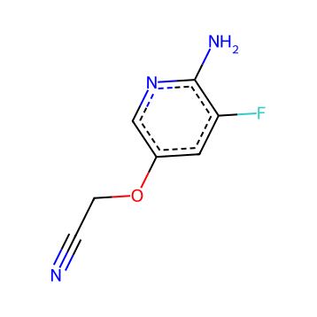 N#CCOc1cnc(N)c(F)c1